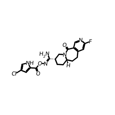 N/C(=N\OC(=O)c1cc(Cl)c[nH]1)[C@H]1CC[C@H]2CCc3cc(F)ncc3C(=O)N2C1